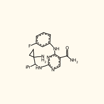 CC(C)C(Nc1ncc(C(N)=O)c(Nc2cccc(F)c2)n1)C1(N)CC1